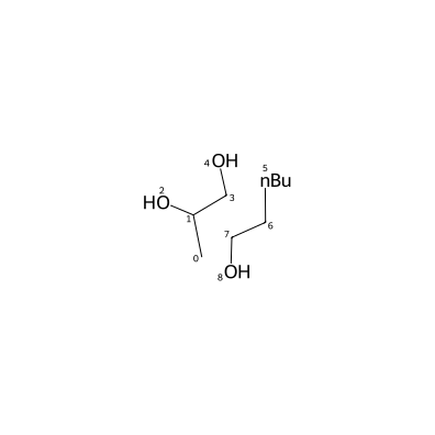 CC(O)CO.CCCCCCO